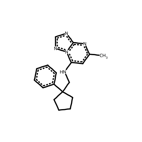 Cc1cc(NCC2(c3ccccc3)CCCC2)n2ncnc2n1